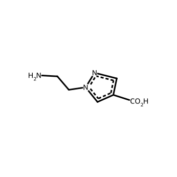 NCCn1cc(C(=O)O)cn1